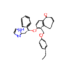 CCc1ccc(OCc2c(O[C@@H](Cc3ncc[nH]3)c3ccccc3)ccc3c2CCCC3=O)cc1